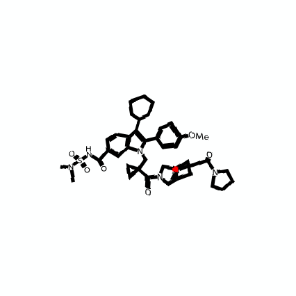 COc1ccc(-c2c(C3CCCCC3)c3ccc(C(=O)NS(=O)(=O)N(C)C)cc3n2CC2(C(=O)N3CC45CCC4(CN(C(=O)N4CCCC4)C5)C3)CC2)cc1